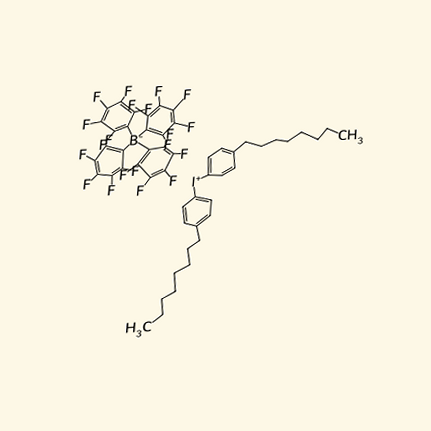 CCCCCCCCc1ccc([I+]c2ccc(CCCCCCCC)cc2)cc1.Fc1c(F)c(F)c([B-](c2c(F)c(F)c(F)c(F)c2F)(c2c(F)c(F)c(F)c(F)c2F)c2c(F)c(F)c(F)c(F)c2F)c(F)c1F